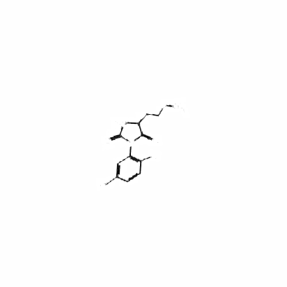 CSCCC1NC(=O)N(c2cc(Cl)ccc2Cl)C1=O